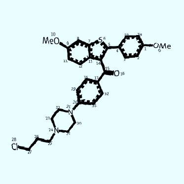 COc1ccc(-c2sc3cc(OC)ccc3c2C(=O)c2ccc(N3CCN(CCCCl)CC3)cc2)cc1